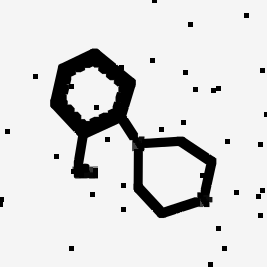 CC(C)(C)c1ccccc1N1CC[N]CC1